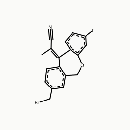 C/C(C#N)=C1\c2ccc(CBr)cc2COc2cc(F)ccc21